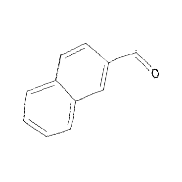 O=[C]c1ccc2ccccc2c1